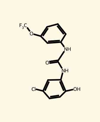 O=C(Nc1cccc(OC(F)(F)F)c1)Nc1cc(Cl)ccc1O